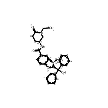 CCN1C[C@@H](NC(=O)c2ccc3nc(C(O)(c4ccccc4)c4ccccc4)n(C)c3c2)CCC1=O